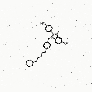 Cc1c(-c2ccc(O)cc2)n(Cc2ccc(C=CCCCN3CCCCC3)cc2)c2ccc(O)cc12